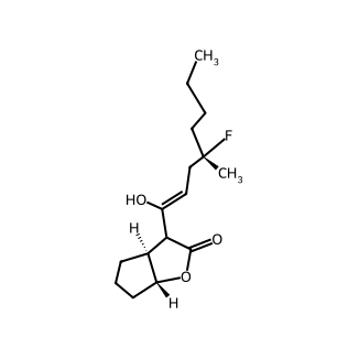 CCCC[C@](C)(F)CC=C(O)C1C(=O)O[C@@H]2CCC[C@@H]12